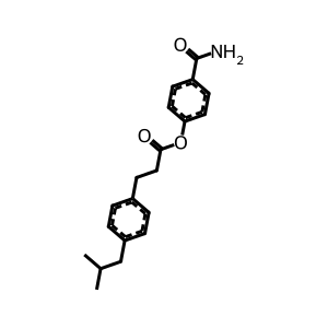 CC(C)Cc1ccc(CCC(=O)Oc2ccc(C(N)=O)cc2)cc1